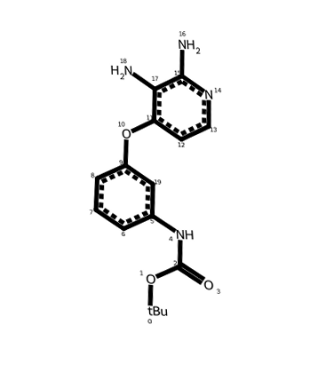 CC(C)(C)OC(=O)Nc1cccc(Oc2ccnc(N)c2N)c1